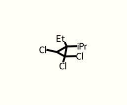 CCC1(C(C)C)C(Cl)C1(Cl)Cl